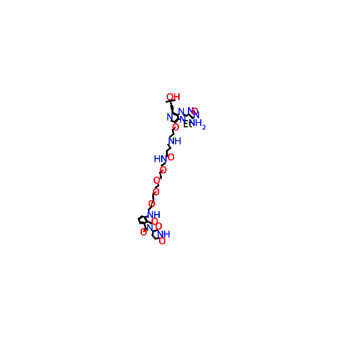 CCn1c(-c2nonc2N)nc2c(C#CC(C)(C)O)ncc(OCCCNCCCC(=O)NCCOCCOCCOCCOCCNc3cccc4c3C(=O)N(C3CCC(=O)NC3=O)C4=O)c21